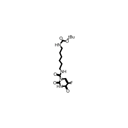 CC(C)(C)OC(=O)NCCCCCCNC(=O)n1cc(F)c(=O)[nH]c1=O